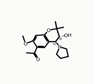 COc1cc2c(cc1C(C)=O)[C@H](N1CCCC1)[C@@H](O)C(C)(C)O2